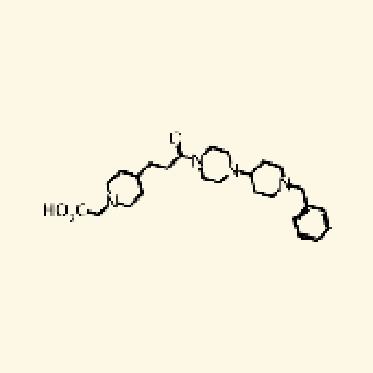 O=C(O)CN1CCC(CCC(=O)N2CCN(C3CCN(Cc4ccccc4)CC3)CC2)CC1